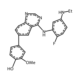 CCNc1ccc(F)c(Nc2ncnc3ccc(-c4ccc(O)c(OC)c4)cc23)c1